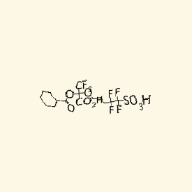 O=C(OC(OCCCC(F)(F)C(F)(F)S(=O)(=O)O)(C(=O)O)C(F)(F)F)C1CCCCC1